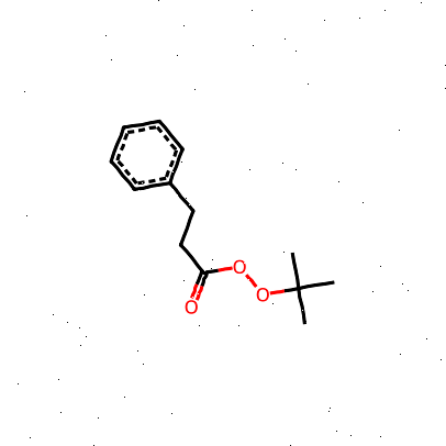 CC(C)(C)OOC(=O)CCc1ccccc1